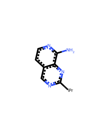 CC(C)c1ncc2ccnc(N)c2n1